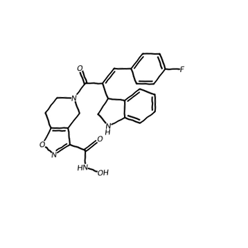 O=C(NO)c1noc2c1CN(C(=O)/C(=C/c1ccc(F)cc1)C1CNc3ccccc31)CC2